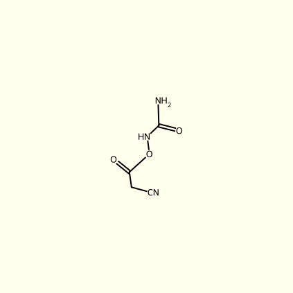 N#CCC(=O)ONC(N)=O